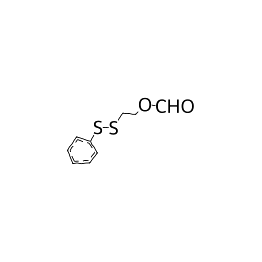 O=COCCSSc1ccccc1